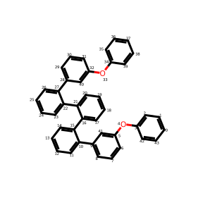 c1ccc(Oc2cccc(-c3ccccc3-c3ccccc3-c3ccccc3-c3cccc(Oc4ccccc4)c3)c2)cc1